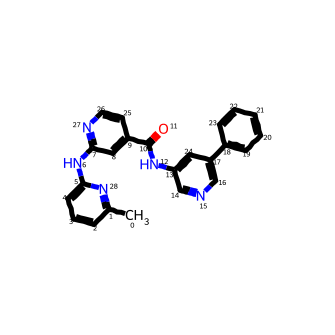 Cc1cccc(Nc2cc(C(=O)Nc3cncc(-c4ccccc4)c3)ccn2)n1